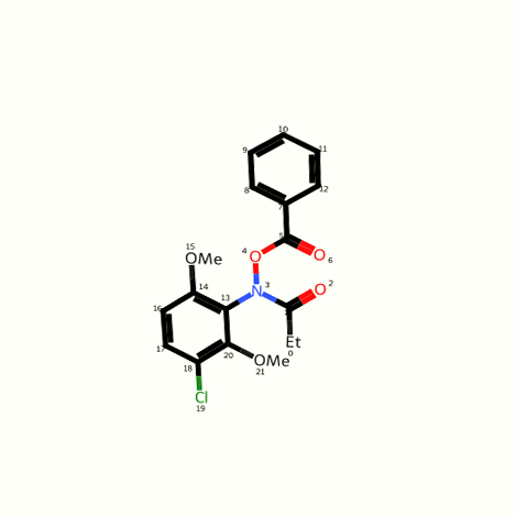 CCC(=O)N(OC(=O)c1ccccc1)c1c(OC)ccc(Cl)c1OC